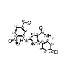 NC(=O)c1sc(Nc2cc(C=O)ccc2[N+](=O)[O-])nc1-c1ccc(Cl)cc1